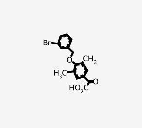 Cc1cc(C(=O)C(=O)O)cc(C)c1OCc1cccc(Br)c1